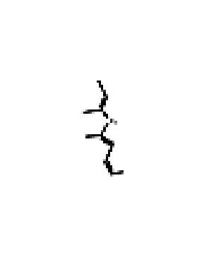 C/C=C\C=C(/C)B/C(C)=C/C